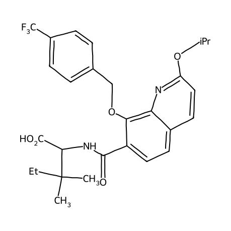 CCC(C)(C)C(NC(=O)c1ccc2ccc(OC(C)C)nc2c1OCc1ccc(C(F)(F)F)cc1)C(=O)O